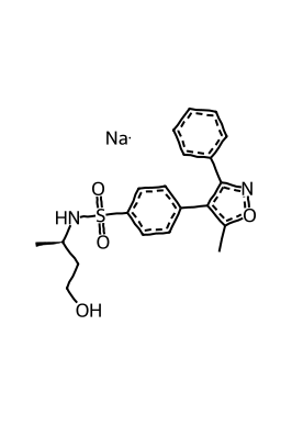 Cc1onc(-c2ccccc2)c1-c1ccc(S(=O)(=O)N[C@H](C)CCO)cc1.[Na]